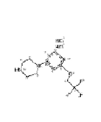 Cl.Cl.FC(F)(F)COc1cc(N2CCNCC2)ncn1